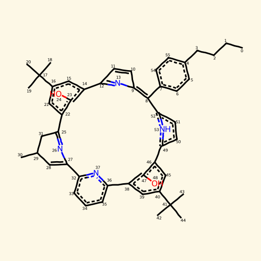 CCCCc1ccc(/C2=C3\C=CC(=N3)c3cc(C(C)(C)C)cc(c3O)C3=NC(=CC(C)C3)c3cccc(n3)-c3cc(C(C)(C)C)cc(c3O)-c3ccc2[nH]3)cc1